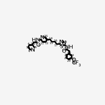 O=C(Cc1cccnc1)Nc1ccc(CCCCc2nnc(NC(=O)Cc3cccc(OC(F)(F)F)c3)s2)cn1